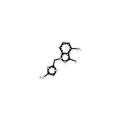 Cc1csc(Cn2nc(Br)c3c(N)cccc32)n1